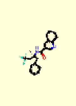 C[C@](Cc1ccccc1)(CC(F)(F)F)NC(=O)c1cnc2ccccc2c1